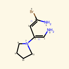 N/C=C(\C=C(/N)Br)N1CCCC1